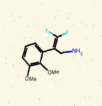 COc1cccc(C(CN)=C(F)F)c1OC